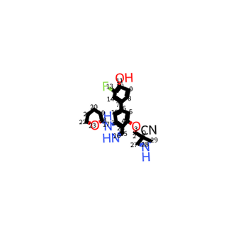 N#CC1(COc2cc(-c3ccc(O)c(F)c3)cc(NC3CCCCO3)c2C=N)CNC1